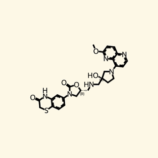 COc1ccc2nccc(N3CC[C@](O)(CNC[C@@H]4CN(c5ccc6c(c5)NC(=O)CS6)C(=O)O4)C3)c2n1